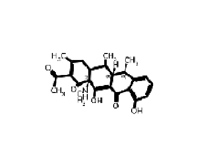 CN[C@@]12C(=O)C(C(C)=O)=C(C)CC1C(C)[C@H]1C(=C2O)C(=O)c2c(O)cccc2[C@@H]1C